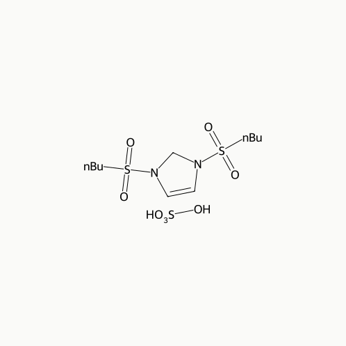 CCCCS(=O)(=O)N1C=CN(S(=O)(=O)CCCC)C1.O=S(=O)(O)O